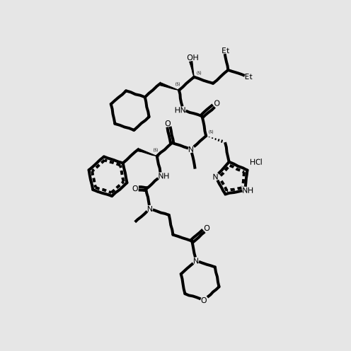 CCC(CC)C[C@H](O)[C@H](CC1CCCCC1)NC(=O)[C@H](Cc1c[nH]cn1)N(C)C(=O)[C@H](Cc1ccccc1)NC(=O)N(C)CCC(=O)N1CCOCC1.Cl